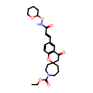 CCOC(=O)N1CCCC2(CC1)CC(=O)c1cc(/C=C/C(=O)NOC3CCCCO3)ccc1O2